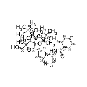 CC(C)(C)[Si](C)(C)OC1(O[Si](C)(C)C(C)(C)C)CC(O)(CO)O[C@H]1c1cc2ncnc(NC(=O)c3ccccc3)n2c1